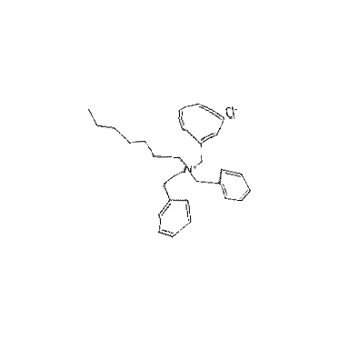 CCCCCCC[N+](Cc1ccccc1)(Cc1ccccc1)Cc1ccccc1.[Cl-]